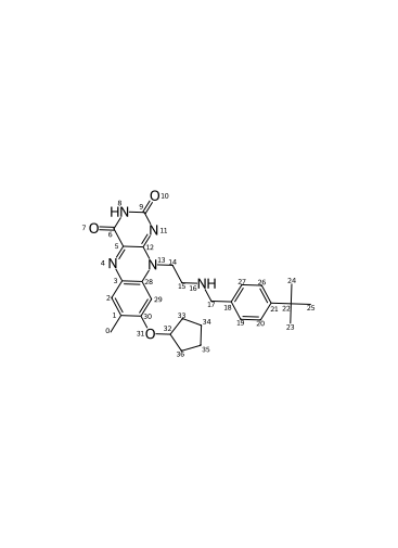 Cc1cc2nc3c(=O)[nH]c(=O)nc-3n(CCNCc3ccc(C(C)(C)C)cc3)c2cc1OC1CCCC1